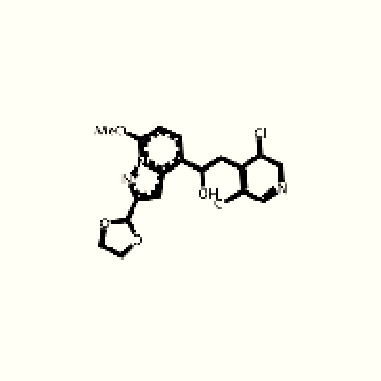 COc1ccc(C(O)CC2=C(Cl)C=NCC2Cl)c2cc(C3OCCO3)nn12